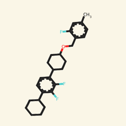 Cc1ccc(COC2CCC(c3ccc(C4CCCCC4)c(F)c3F)CC2)c(F)c1